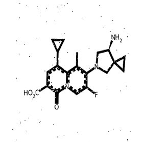 Cc1c(N2C[C@@H](N)C3(CC3)C2)c(F)cn2c(=O)c(C(=O)O)cc(C3CC3)c12